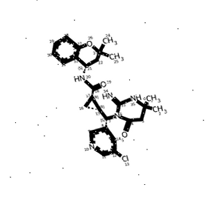 CC1(C)CC(=O)N([C@H](c2cncc(Cl)c2)[C@@H]2C[C@H]2C(=O)N[C@H]2CC(C)(C)Oc3ccccc32)C(=N)N1